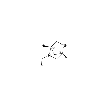 O=CN1C[C@@H]2C[C@H]1CN2